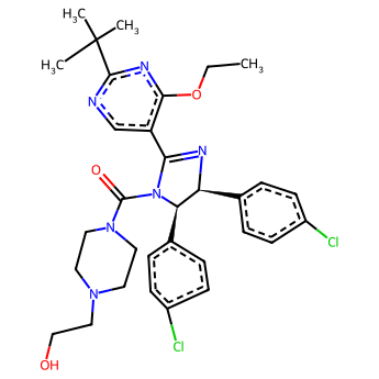 CCOc1nc(C(C)(C)C)ncc1C1=N[C@@H](c2ccc(Cl)cc2)[C@@H](c2ccc(Cl)cc2)N1C(=O)N1CCN(CCO)CC1